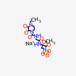 CCN1CCN(C(=O)NCC(=O)NC2(OC)CN(S(=O)(=O)[O-])C2=O)C(=O)C1=O.[Na+]